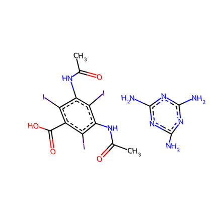 CC(=O)Nc1c(I)c(NC(C)=O)c(I)c(C(=O)O)c1I.Nc1nc(N)nc(N)n1